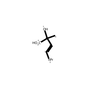 CCCC=CC(C)(O)C(=O)O